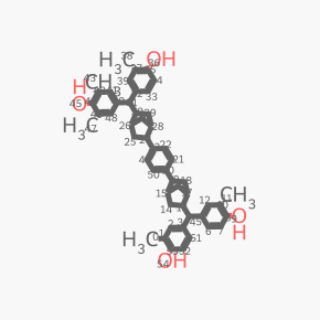 Cc1cc(C(c2ccc(O)c(C)c2)C2CC3CC2CC3c2ccc(C3CC4CC3CC4C(c3ccc(O)c(C)c3)c3cc(C)c(O)c(C)c3)cc2)ccc1O